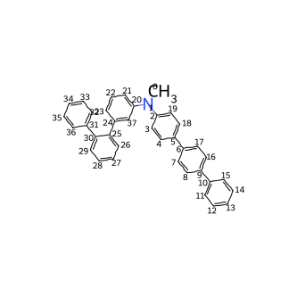 CN(c1ccc(-c2ccc(-c3ccccc3)cc2)cc1)c1cccc(-c2ccccc2-c2ccccc2)c1